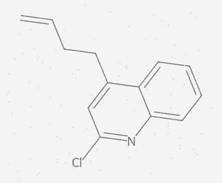 C=CCCc1cc(Cl)nc2ccccc12